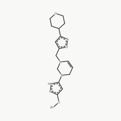 CC(C)Oc1cc(N2CC=CN(Cc3cc(C4CCOCC4)no3)C2)[nH]n1